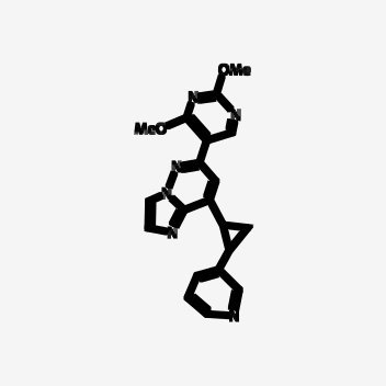 COc1ncc(-c2cc(C3CC3c3cccnc3)c3nccn3n2)c(OC)n1